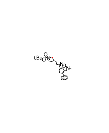 CN(C)Cc1c(-c2ccco2)ccc2c(CCC3CCN(C(=O)OC(C)(C)C)CC3)noc12